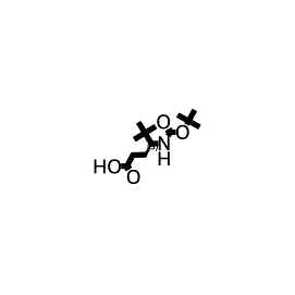 CC(C)(C)OC(=O)N[C@@H](CCC(=O)O)C(C)(C)C